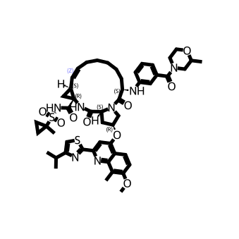 COc1ccc2c(O[C@@H]3C[C@H]4C(=O)N[C@]5(C(=O)NS(=O)(=O)C6(C)CC6)C[C@H]5/C=C\CCCCC[C@H](Nc5cccc(C(=O)N6CCOC(C)C6)c5)C(=O)N4C3)cc(-c3nc(C(C)C)cs3)nc2c1C